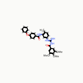 COc1cc(C(=O)NC(=N)Nc2ccc(C)c(NC(=O)c3ccc(Oc4ccccc4)cc3)c2)cc(OC)c1OC